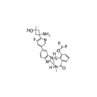 CN1C(=O)c2cccc(OC(F)F)c2[C@H]2C[C@@H]1c1nc3ccc(-c4cnc(C5(N)CC(C)(O)C5)c(F)c4)cc3n12